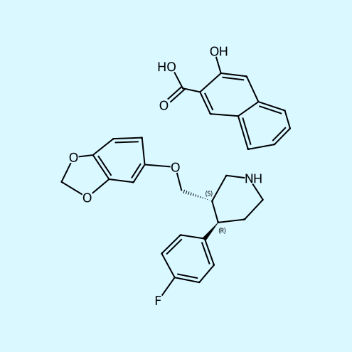 Fc1ccc([C@@H]2CCNC[C@H]2COc2ccc3c(c2)OCO3)cc1.O=C(O)c1cc2ccccc2cc1O